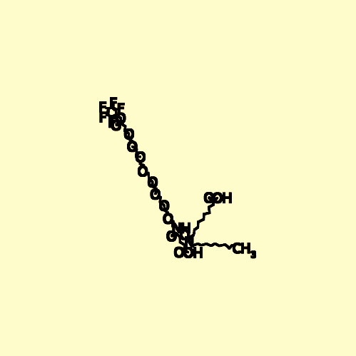 CCCCCCCCCCCN(C(=O)CCCCCCCCCC(=O)O)C(CCC(=O)NCCOCCOCCOCCOCCOCCOCCOCCOCCC(=O)Oc1c(F)c(F)c(F)c(F)c1F)C(=O)O